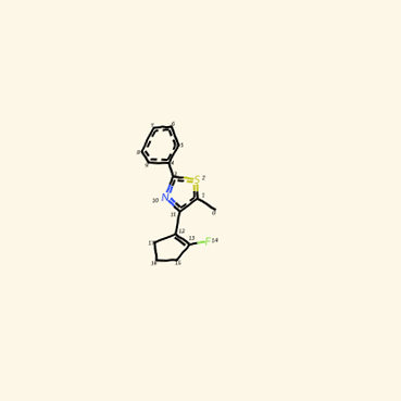 Cc1sc(-c2ccccc2)nc1C1=C(F)CCC1